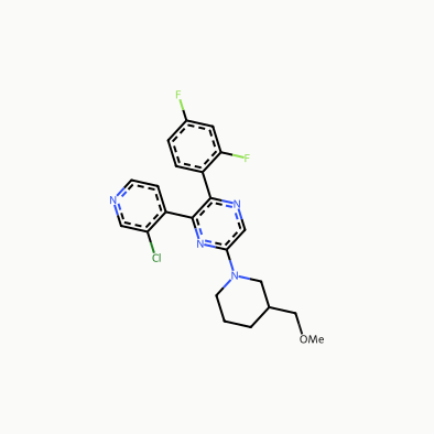 COCC1CCCN(c2cnc(-c3ccc(F)cc3F)c(-c3ccncc3Cl)n2)C1